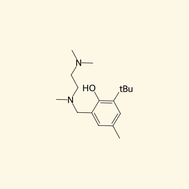 Cc1cc(CN(C)CCN(C)C)c(O)c(C(C)(C)C)c1